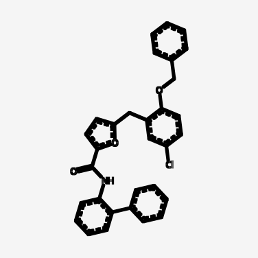 O=C(Nc1ccccc1-c1ccccc1)c1ccc(Cc2cc(Cl)ccc2OCc2ccccc2)o1